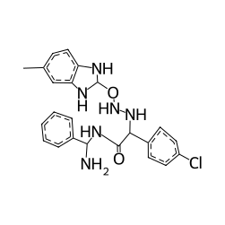 Cc1ccc2c(c1)NC(ONNC(C(=O)NC(N)c1ccccc1)c1ccc(Cl)cc1)N2